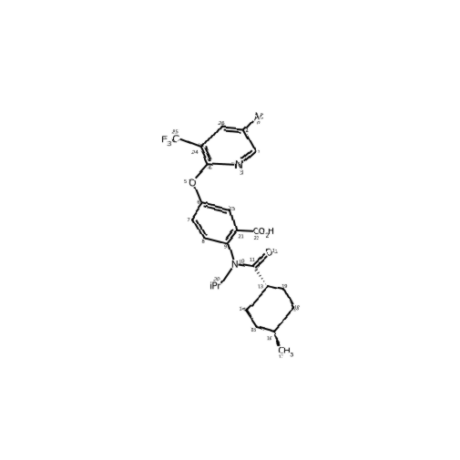 CC(=O)c1cnc(Oc2ccc(N(C(=O)[C@H]3CC[C@H](C)CC3)C(C)C)c(C(=O)O)c2)c(C(F)(F)F)c1